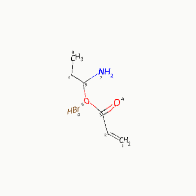 Br.C=CC(=O)OC(N)CC